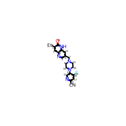 CCc1cc2ncc(CN3CCN(c4cnc(C#N)cc4F)CC3)cc2[nH]c1=O